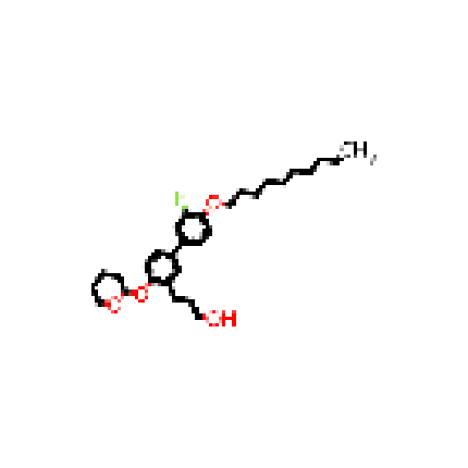 CCCCCCCCCCOc1ccc(-c2ccc(OC3CCCCO3)c(CCCO)c2)cc1F